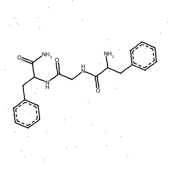 NC(=O)C(Cc1ccccc1)NC(=O)CNC(=O)C(N)Cc1ccccc1